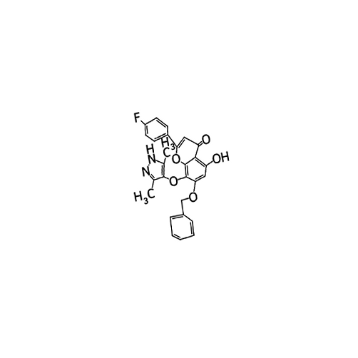 Cc1n[nH]c(C)c1Oc1c(OCc2ccccc2)cc(O)c2c(=O)cc(-c3ccc(F)cc3)oc12